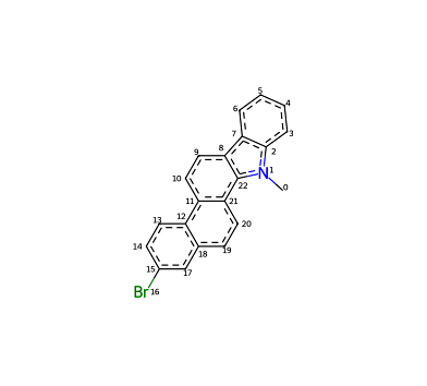 Cn1c2ccccc2c2ccc3c4ccc(Br)cc4ccc3c21